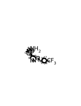 CC1(C)OB(c2cnnc(OC[C@H]3CC[C@H](C(F)(F)F)CC3)c2)OC1(C)N